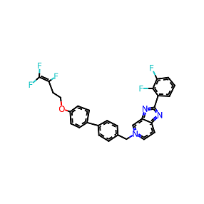 FC(F)=C(F)CCOc1ccc(-c2ccc(Cn3ccc4nc(-c5cccc(F)c5F)nc-4c3)cc2)cc1